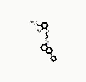 Cc1c(CC(=O)O)cccc1OCCO/N=C1\CCCc2cc(-n3cccn3)ccc21